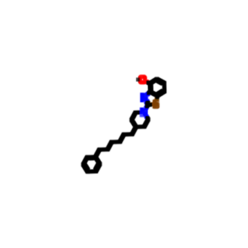 [O]c1cccc2sc(N3CCC(CCCCCCc4ccccc4)CC3)nc12